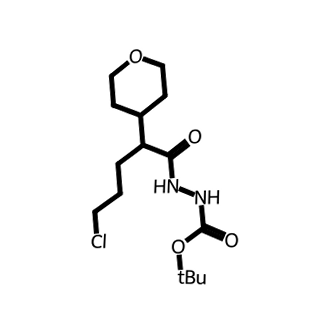 CC(C)(C)OC(=O)NNC(=O)C(CCCCl)C1CCOCC1